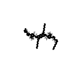 CCCCCCCCC1(C)c2cc3c(cc2-c2sc(-c4c(F)cc(-c5ccc(-c6ccc(C)s6)s5)c5nsnc45)cc21)C(C)(CCCCCCCC)c1cc(-c2c(F)cc(-c4ccc(-c5ccc(CCCCCC)s5)s4)c4nsnc24)sc1-3